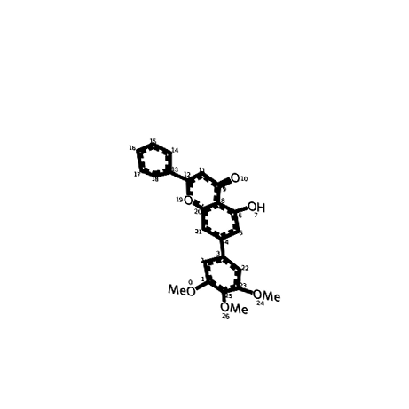 COc1cc(-c2cc(O)c3c(=O)cc(-c4ccccc4)oc3c2)cc(OC)c1OC